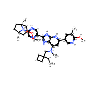 CCOC(=O)COC1C[C@H]2CC[C@@H](C1)N2c1cnc(-c2nc3nc(-c4cnc(OCC)c(C(F)(F)F)c4)cc(N(C)CC4(COC)CCC4)c3[nH]2)cn1